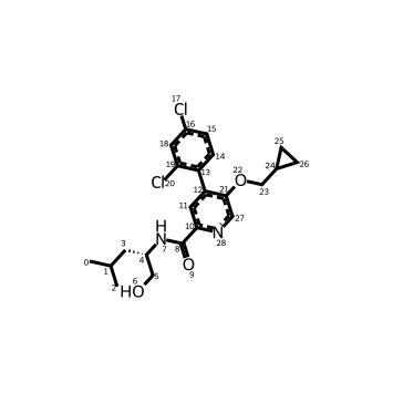 CC(C)C[C@@H](CO)NC(=O)c1cc(-c2ccc(Cl)cc2Cl)c(OCC2CC2)cn1